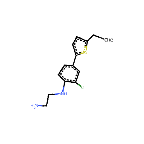 NCCNc1ccc(-c2ccc(CC=O)s2)cc1Cl